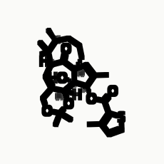 CC1=C[C@@]23CCC[C@H](C)C(C)(C)[C@H](C=C4COC(C)(C)O[C@H]4[C@]2(O)[C@H]1OC(=O)c1sccc1C)C3=O